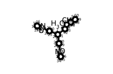 CC1(C)c2cc(-c3cc(-c4ccc(-c5nc6ccccc6o5)cc4)cc(-c4ccc(-c5nc6ccccc6o5)cc4)c3)ccc2-c2cc3ccccc3cc21